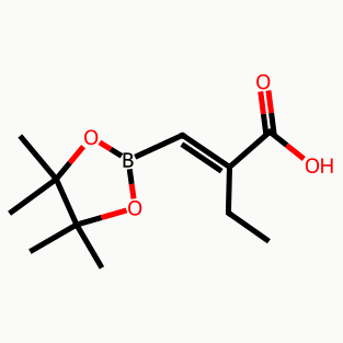 CC/C(=C\B1OC(C)(C)C(C)(C)O1)C(=O)O